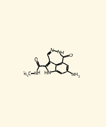 CNC(=O)c1[nH]c2cc(N)cc3c2c1C=NNC3=O